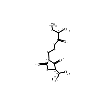 CCC(C)C(=O)CCCN1C(=O)CC(C(C)C)C1=O